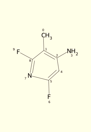 Cc1c(N)cc(F)nc1F